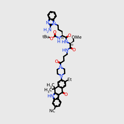 CCc1cc2c(cc1N1CCN(C(=O)CCCNC(=O)[C@H](COC)NC(=O)[C@H](CCCn3c(N)nc4ccccc43)NC(=O)OC(C)(C)C)CC1)C(C)(C)c1[nH]c3cc(C#N)ccc3c1C2=O